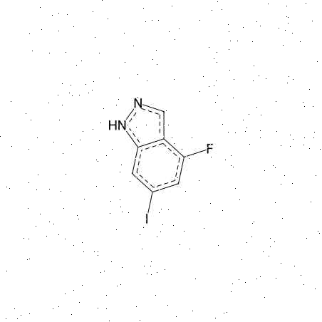 Fc1cc(I)cc2[nH]ncc12